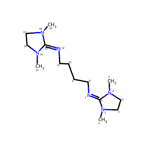 CN1CCN(C)C1=NCCCCN=C1N(C)CCN1C